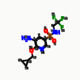 Nc1cc(S(=O)(=O)NCC(F)(F)F)cnc1OCC1CC1